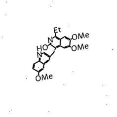 CCc1nc(O)c(Cc2cnc3ccc(OC)cc3c2)c2cc(OC)c(OC)cc12